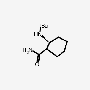 CC(C)(C)N[C@H]1CCCCC1C(N)=O